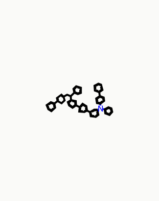 C1=C(CC(c2ccccc2)c2cccc(-c3ccc(-c4cccc(N(c5ccccc5)c5ccc(-c6ccccc6)cc5)c4)cc3)c2)CCC(c2ccccc2)=C1